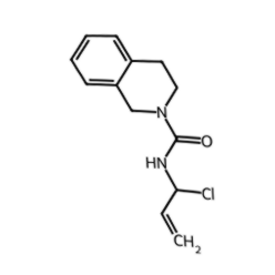 C=CC(Cl)NC(=O)N1CCc2ccccc2C1